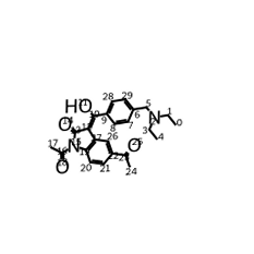 CCN(CC)Cc1ccc(/C(O)=C2/C(=O)N(C(C)=O)c3ccc(C(C)=O)cc32)cc1